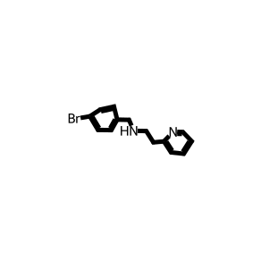 Brc1ccc(CNCCc2ccccn2)cc1